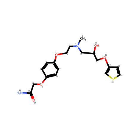 CN(CCOc1ccc(OCC(N)=O)cc1)CC(O)COc1ccsc1